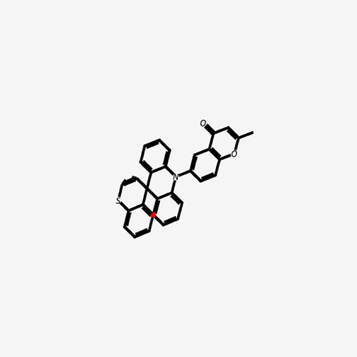 Cc1cc(=O)c2cc(N3c4ccccc4C4(c5ccccc5Sc5ccccc54)c4ccccc43)ccc2o1